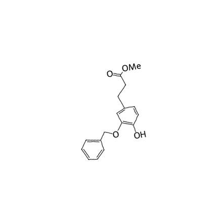 COC(=O)CCc1ccc(O)c(OCc2ccccc2)c1